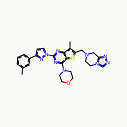 Cc1cccc(-c2ccn(-c3nc(N4CCOCC4)c4sc(CN5CCn6cnnc6C5)c(C)c4n3)n2)c1